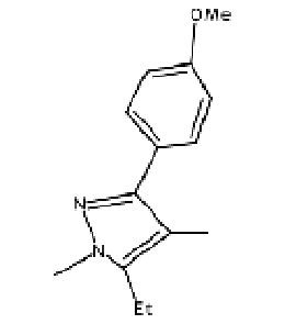 CCc1c(C)c(-c2ccc(OC)cc2)nn1C